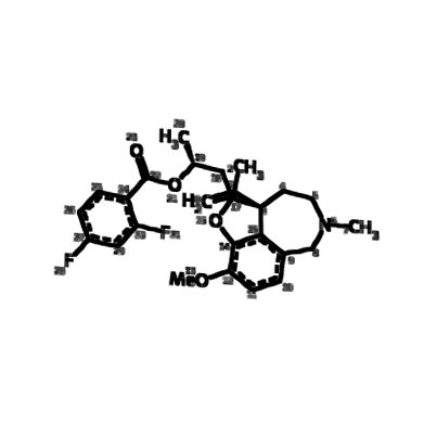 C=C(C)[C@@]12CCN(C)Cc3ccc(OC)c(c31)OC2C[C@H](C)OC(=O)c1ccc(F)cc1F